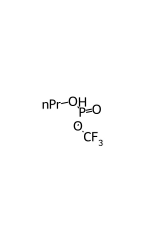 CCCO[PH](=O)OC(F)(F)F